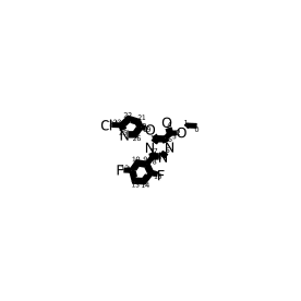 CCOC(=O)c1nnc(-c2cc(F)ccc2F)nc1Oc1ccc(Cl)nc1